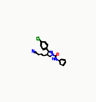 N#CCCCC1CN(C(=O)Nc2ccccc2)N=C1c1ccc(Cl)cc1